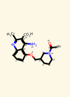 Cc1nc2cccc(OCC3CCCN(C(=O)C(C)C)C3)c2c(N)c1C(=O)O